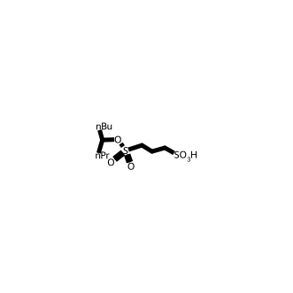 CCCCC(CCC)OS(=O)(=O)CCCS(=O)(=O)O